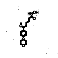 COC(CCCCC(=O)NO)c1ccc(N2CCOCC2)cc1